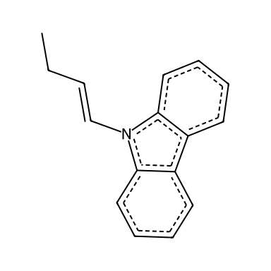 CC/C=C/n1c2ccccc2c2ccccc21